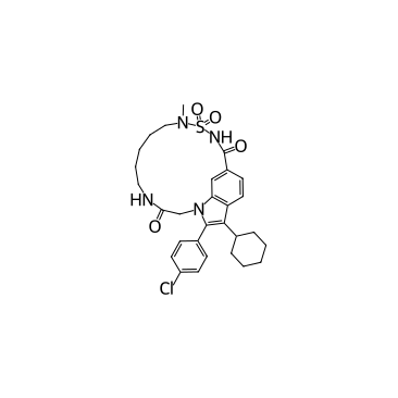 CN1CCCCCNC(=O)Cn2c(-c3ccc(Cl)cc3)c(C3CCCCC3)c3ccc(cc32)C(=O)NS1(=O)=O